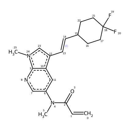 C=CC(=O)N(C)c1cnc2c(c1)c(/C=C/C1CCC(F)(F)CC1)cn2C